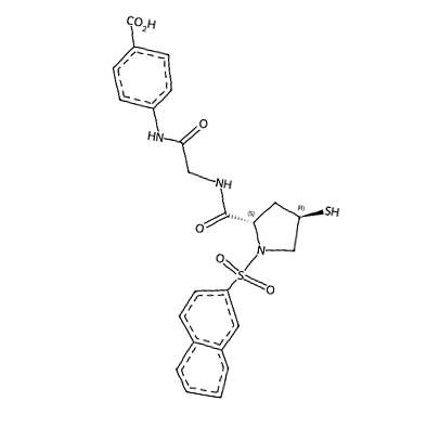 O=C(CNC(=O)[C@@H]1C[C@@H](S)CN1S(=O)(=O)c1ccc2ccccc2c1)Nc1ccc(C(=O)O)cc1